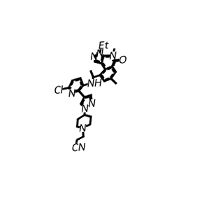 CCn1ncc2c3c(C(C)Nc4ccc(Cl)nc4-c4cnn(C5CCN(CCC#N)CC5)c4)cc(C)cc3c(=O)n(C)c21